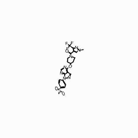 Cn1cc(C(=O)N2CCC(Oc3ncnc4c3cnn4-c3ccc(S(C)(=O)=O)cc3)CC2)c(C(F)(F)F)n1